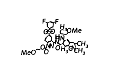 COCCOC(=O)n1nc(NC(=O)c2ccc(CC(C)N(C)C)cc2NC(C)COC)c2cc(S(=O)(=O)c3cc(F)cc(F)c3)ccc21